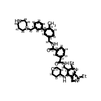 CCc1nc2c(cnn2CC)c(NC2CCOCC2)c1CNC(=O)c1cccc(C(=O)NCc2ccc(C)c(-c3cccc(CN4CCCNCC4)c3)c2)c1